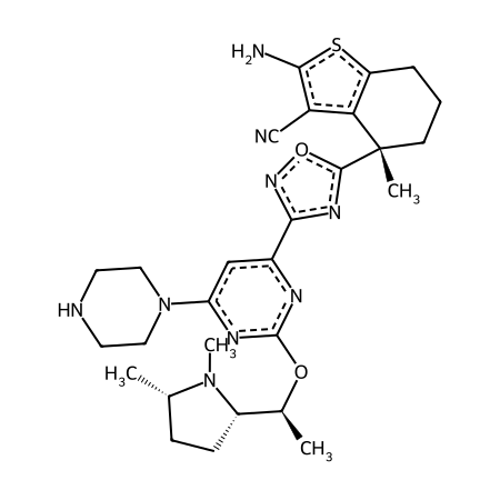 C[C@H](Oc1nc(-c2noc([C@@]3(C)CCCc4sc(N)c(C#N)c43)n2)cc(N2CCNCC2)n1)[C@@H]1CC[C@H](C)N1C